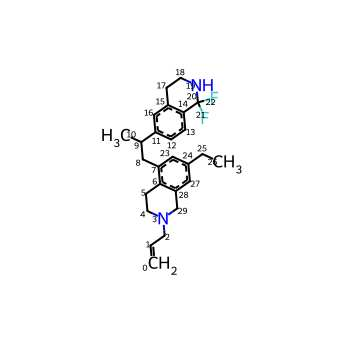 C=CCN1CCc2c(CC(C)c3ccc4c(c3)CCNC4(F)F)cc(CC)cc2C1